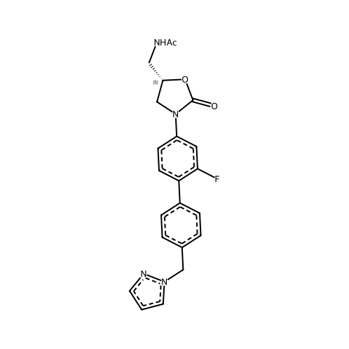 CC(=O)NC[C@H]1CN(c2ccc(-c3ccc(Cn4cccn4)cc3)c(F)c2)C(=O)O1